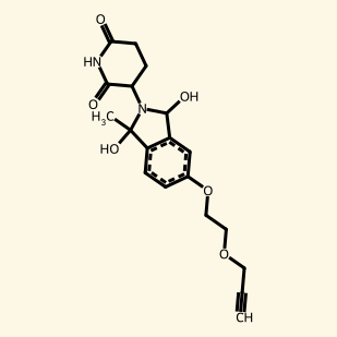 C#CCOCCOc1ccc2c(c1)C(O)N(C1CCC(=O)NC1=O)C2(C)O